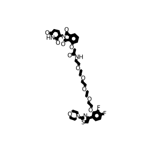 O=C(COc1cccc2c1C(=O)N(C1CCC(=O)NC1=O)C2=O)NCCOCCOCCOCCOCCOc1c(-c2csc(N3CCOCC3)n2)ccc(F)c1F